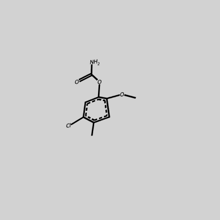 COc1cc(C)c(Cl)cc1OC(N)=O